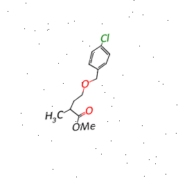 COC(=O)C(C)CCOCc1ccc(Cl)cc1